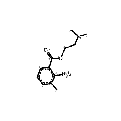 Cc1cccc(C(=O)OCCC(C)C)c1N